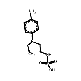 CCN(CCNS(=O)(=O)O)c1ccc(N)cc1